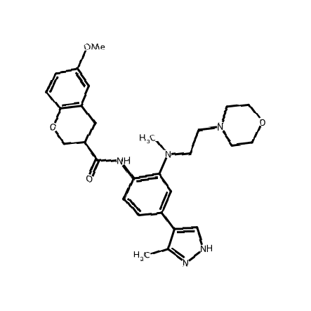 COc1ccc2c(c1)CC(C(=O)Nc1ccc(-c3c[nH]nc3C)cc1N(C)CCN1CCOCC1)CO2